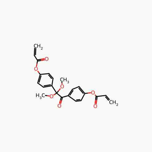 C=CC(=O)Oc1ccc(C(=O)C(OC)(OC)c2ccc(OC(=O)C=C)cc2)cc1